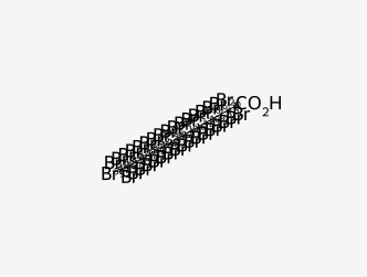 O=C(O)C(Br)(Br)C(Br)(Br)C(Br)(Br)C(Br)(Br)C(Br)(Br)C(Br)(Br)C(Br)(Br)C(Br)(Br)C(Br)(Br)C(Br)(Br)C(Br)(Br)C(Br)(Br)C(Br)(Br)C(Br)(Br)C(Br)(Br)C(Br)(Br)C(Br)(Br)Br